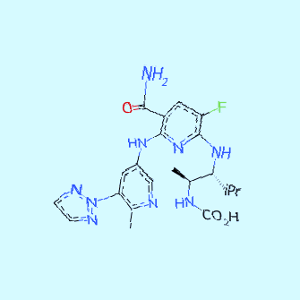 Cc1ncc(Nc2nc(N[C@H](C(C)C)[C@H](C)NC(=O)O)c(F)cc2C(N)=O)cc1-n1nccn1